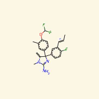 C=C1N(C)C(N)=NC1(c1ccc(OC(F)F)c(C)c1)c1ccc(F)c(/C=C/C)c1